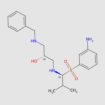 CC(C)[C@@H](NC[C@H](O)CNCc1ccccc1)S(=O)(=O)c1cccc(N)c1